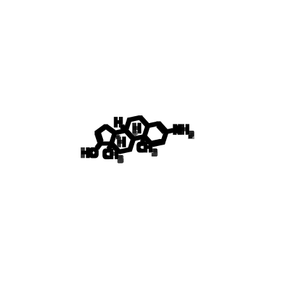 C[C@]12C=CC(N)=CC1CC[C@@H]1[C@@H]2CC[C@]2(C)C(O)=CC[C@@H]12